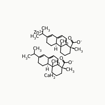 CC(C)C1=CC2=CCC3[C@](C)(C(=O)[O-])CCC[C@]3(C)[C@H]2CC1.CC(C)C1=CC2=CCC3[C@](C)(C(=O)[O-])CCC[C@]3(C)[C@H]2CC1.[CaH2].[Zn+2]